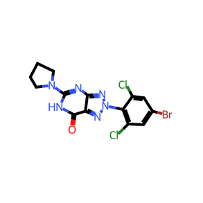 O=c1[nH]c(N2CCCC2)nc2nn(-c3c(Cl)cc(Br)cc3Cl)nc12